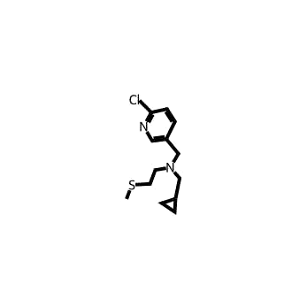 CSCCN(Cc1ccc(Cl)nc1)CC1CC1